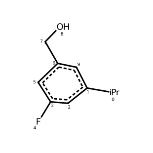 CC(C)c1cc(F)cc([CH]O)c1